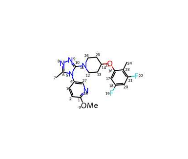 COc1ccc(-n2c(C)nnc2N2CCC(Oc3cc(F)cc(F)c3C)CC2)cn1